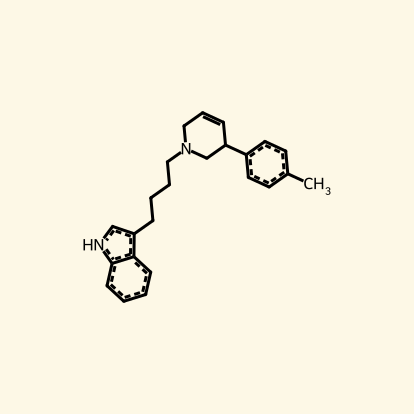 Cc1ccc(C2C=CCN(CCCCc3c[nH]c4ccccc34)C2)cc1